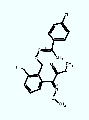 CNC(=O)/C(=N/OC)c1cccc(C)c1CO/N=C(\C)c1ccc(Cl)cc1